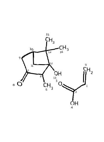 C=CC(=O)O.CC1C(=O)CC2CC1(O)C2(C)C